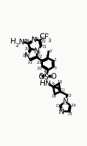 Cc1ccc(S(=O)(=O)NC23CC(Cn4ccnc4)(C2)C3)cc1-c1cnc2c(N)nc(C(F)(F)F)cn12